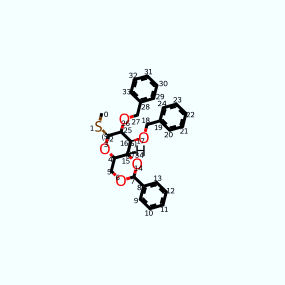 CS[C@@H]1OC2COC(c3ccccc3)O[C@H]2[C@H](OCc2ccccc2)C1OCc1ccccc1